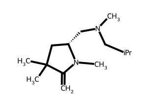 C=C1N(C)[C@@H](CN(C)CC(C)C)CC1(C)C